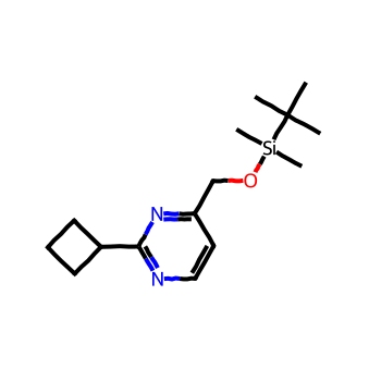 CC(C)(C)[Si](C)(C)OCc1ccnc(C2CCC2)n1